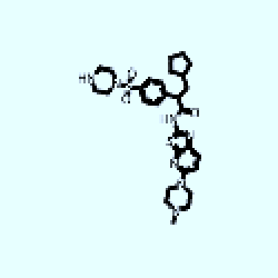 CN1CCN(c2ccc3nc(NC(=O)C(CC4CCCC4)c4ccc(S(=O)(=O)N5CCNCC5)cc4)sc3n2)CC1